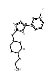 OCCN1CCN(Cc2ncc(-c3cccc(Cl)c3)o2)CC1